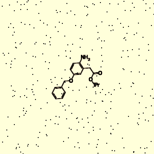 CC(C)OC(=O)Cc1cc(OCc2ccccc2)ccc1N